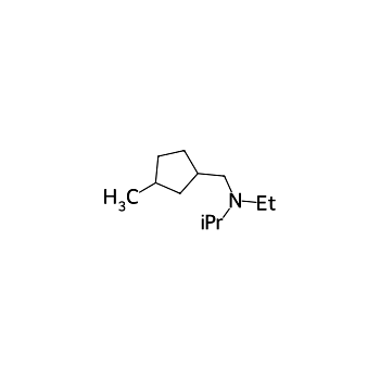 CCN(CC1CCC(C)C1)C(C)C